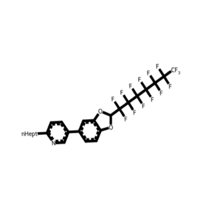 CCCCCCCc1ccc(-c2ccc3c(c2)OC(C(F)(F)C(F)(F)C(F)(F)C(F)(F)C(F)(F)C(F)(F)C(F)(F)F)O3)cn1